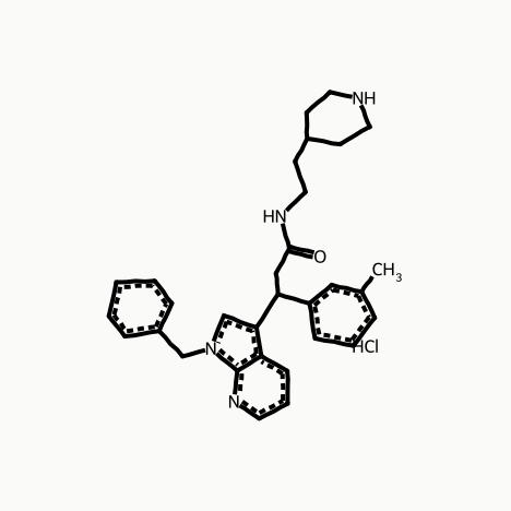 Cc1cccc(C(CC(=O)NCCC2CCNCC2)c2cn(Cc3ccccc3)c3ncccc23)c1.Cl